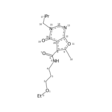 CCOCCCNC(=O)c1c(C)oc2ncn(CC(C)C)c(=O)c12